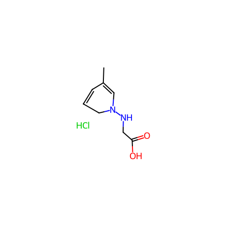 CC1=CN(NCC(=O)O)CC=C1.Cl